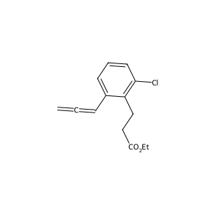 C=C=Cc1cccc(Cl)c1CCC(=O)OCC